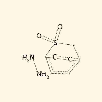 NN.O=S1(=O)Cc2ccc1cc2